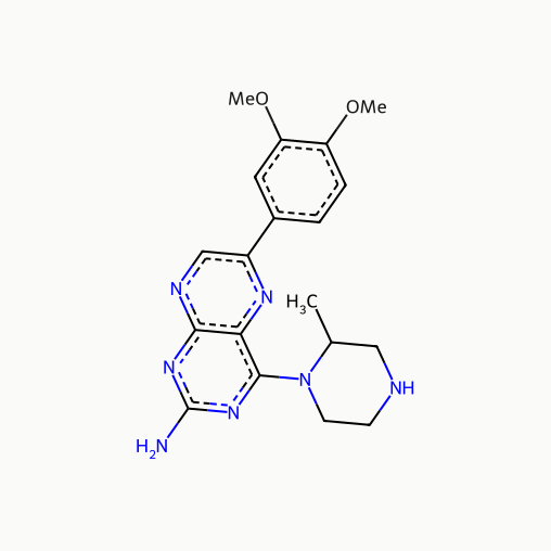 COc1ccc(-c2cnc3nc(N)nc(N4CCNCC4C)c3n2)cc1OC